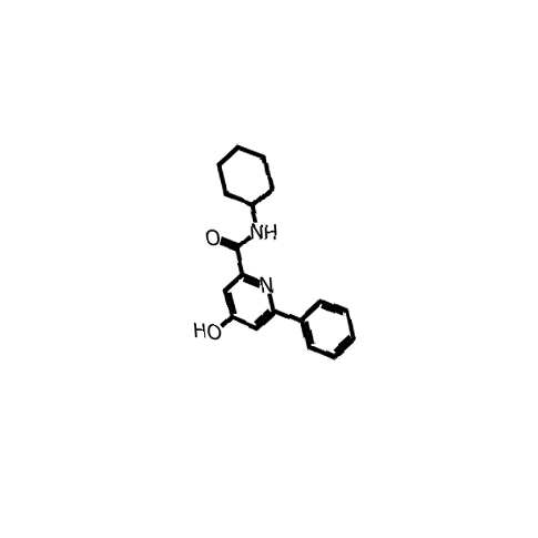 O=C(NC1CCCCC1)c1cc(O)cc(-c2ccccc2)n1